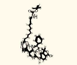 CC(C)(C)OC(=O)NCCCCCCCCCc1nnc(-c2cnc(Nc3ccc4c(c3)C(C)(C)OC4=O)nc2N[C@H](CO)c2ccccc2)o1